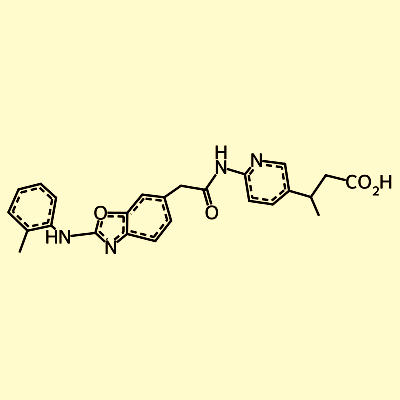 Cc1ccccc1Nc1nc2ccc(CC(=O)Nc3ccc(C(C)CC(=O)O)cn3)cc2o1